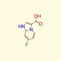 O=C(O)C1=CNC2C=C(F)C=CN12